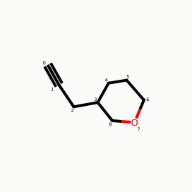 C#CCC1CCCOC1